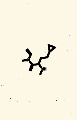 C=CN(C)C(=C)C(CCC1CC1)NC